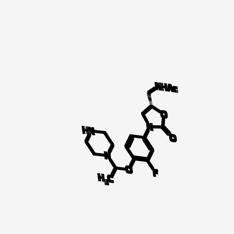 CC(=O)NC[C@H]1CN(c2ccc(OC(C)N3CCNCC3)c(F)c2)C(=O)O1